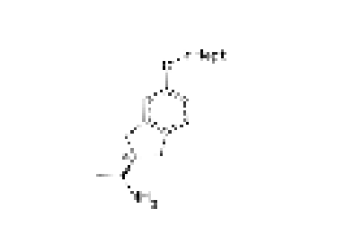 CCCCCCCOc1ccc2c(c1)C[C@H](C(C)N)C2